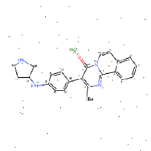 CCCCc1nc2c3ccccc3ccn2c(=O)c1-c1ccc(NC2CCNC2)cc1.Cl